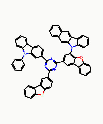 c1ccc(-n2c3ccccc3c3ccc(-c4nc(-c5ccc6oc7ccccc7c6c5)nc(-c5cc(-n6c7ccccc7c7cc8ccccc8cc76)c6oc7ccccc7c6c5)n4)cc32)cc1